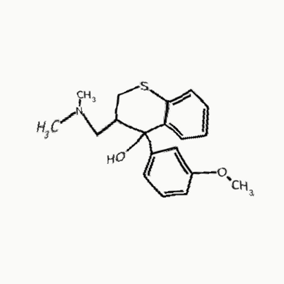 COc1cccc(C2(O)c3ccccc3SCC2CN(C)C)c1